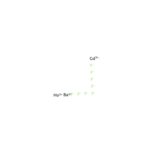 [Ba+2].[F-].[F-].[F-].[F-].[F-].[F-].[F-].[F-].[Gd+3].[Ho+3]